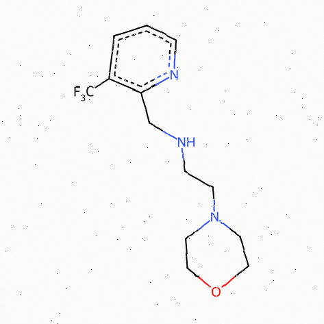 FC(F)(F)c1cccnc1CNCCN1CCOCC1